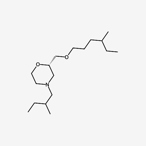 CCC(C)CCCOC[C@@H]1CN(CC(C)CC)CCO1